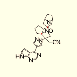 N#CCC1(n2cc(-c3ncnc4[nH]ccc34)cn2)CN(C2CC3CCC(C2)N3C(=O)C2CCCC2)C1